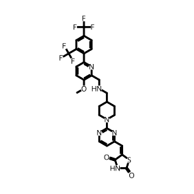 COc1ccc(-c2ccc(C(F)(F)F)cc2C(F)(F)F)nc1CNCC1CCN(c2nccc(/C=C3/SC(=O)NC3=O)n2)CC1